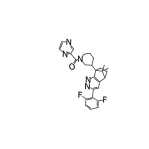 CC1(C)C2CCC1(C1CCCN(C(=O)c3cnccn3)C1)c1nnc(-c3c(F)cccc3F)cc12